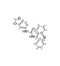 O=C(Nc1ccc2c(c1)OCO2)Nc1c2ccccc2nc2ccccc12